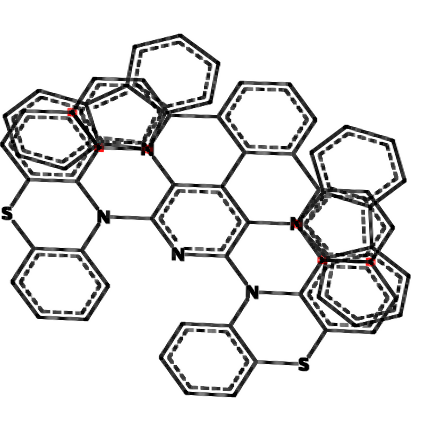 c1ccc(-c2cccc(-c3ccccc3)c2-c2c(-n3c4ccccc4c4ccccc43)c(N3c4ccccc4Sc4ccccc43)nc(N3c4ccccc4Sc4ccccc43)c2-n2c3ccccc3c3ccccc32)cc1